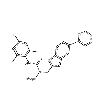 CCCCCCCN(Cc1cc2cc(-c3ccccc3)ccc2o1)C(=O)Nc1c(F)cc(F)cc1F